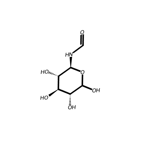 O=CN[C@H]1OC(O)[C@H](O)[C@@H](O)[C@@H]1O